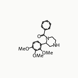 COc1ccc(C2CNCCN2C(=O)c2ccccc2)c(OC)c1OC